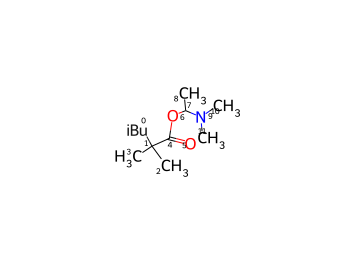 CCC(C)C(C)(C)C(=O)OC(C)N(C)C